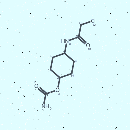 NC(=O)OC1CCC(NC(=O)CCl)CC1